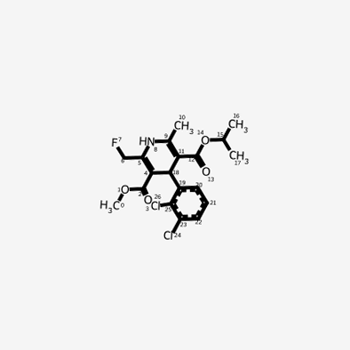 COC(=O)C1=C(CF)NC(C)=C(C(=O)OC(C)C)C1c1cccc(Cl)c1Cl